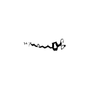 COC(=O)c1ccc(CCCCCOCCCN)cc1